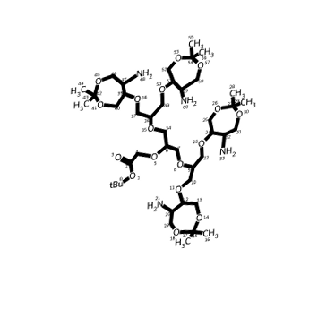 CC(C)(C)OC(=O)COC(COC(COC1COC(C)(C)OCC1N)COC1COC(C)(C)OCC1N)COC(COC1COC(C)(C)OCC1N)COC1COC(C)(C)OCC1N